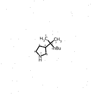 CCCCC(C)(C)C1CCNC1